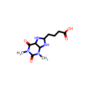 CN1C(=O)C2NC(CCCC(=O)O)NC2N(C)C1=O